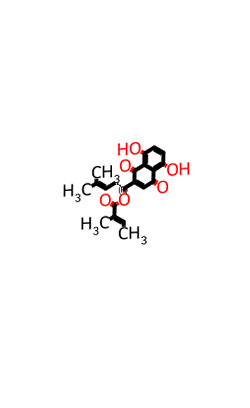 CC=C(C)C(=O)O[C@H](CC=C(C)C)C1=CC(=O)c2c(O)ccc(O)c2C1=O